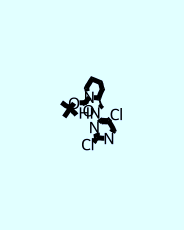 CC(C)(C)OC(=O)N1CCCC[C@H]1CNc1nc(Cl)ncc1Cl